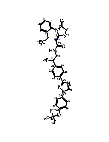 CCc1ccccc1N1C(=O)CS/C1=N\C(=O)NCC(F)c1ccc(-c2ncn(-c3ccc(OC(F)(F)F)cc3)n2)cc1